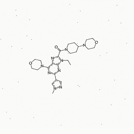 CCn1c(C(=O)N2CCC(N3CCOCC3)CC2)nc2c(N3CCOCC3)nc(-c3cnn(C)c3)nc21